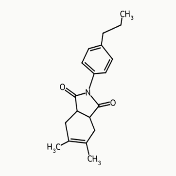 CCCc1ccc(N2C(=O)C3CC(C)=C(C)CC3C2=O)cc1